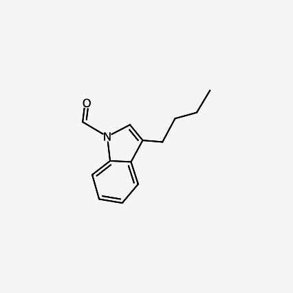 CCCCc1cn(C=O)c2ccccc12